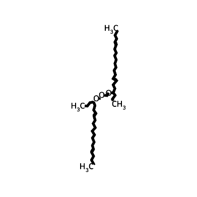 CCCCC=CCCCCCCCCC=CCCC(CCC)OCOCOC(CCC)CCC=CCCCCCCCCC=CCCCC